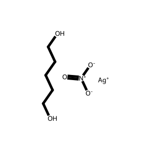 O=[N+]([O-])[O-].OCCCCCO.[Ag+]